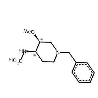 CO[C@H]1CN(Cc2ccccc2)CC[C@H]1NC(=O)O